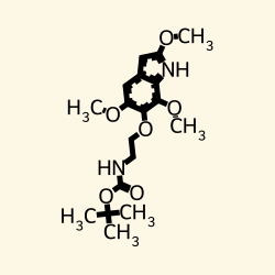 COc1cc2cc(OC)c(OCCNC(=O)OC(C)(C)C)c(OC)c2[nH]1